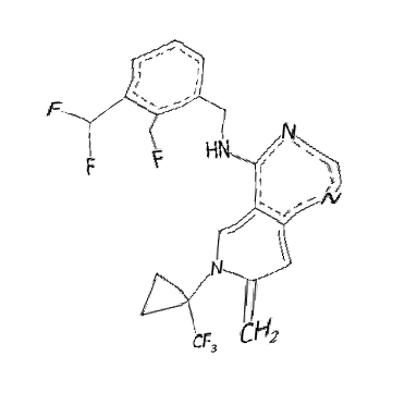 C=C1C=c2ncnc(NCc3cccc(C(F)F)c3F)c2=CN1C1(C(F)(F)F)CC1